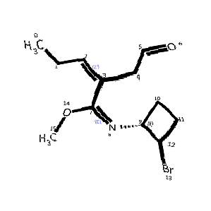 CC/C=C(CC=O)\C(=N/[C@@H]1CCC1Br)OC